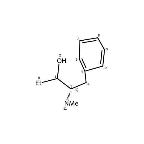 CCC(O)[C@H](Cc1ccccc1)NC